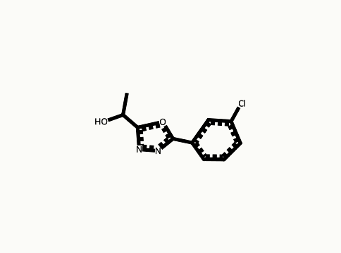 CC(O)c1nnc(-c2cccc(Cl)c2)o1